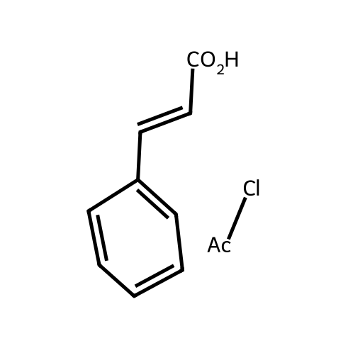 CC(=O)Cl.O=C(O)C=Cc1ccccc1